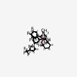 Cn1nc2c(c1-c1cc(F)c(F)c(F)c1)C[C@H]1CCC[C@@H]2N1C(=O)c1cccc(-n2ccc(C(F)(F)F)n2)c1